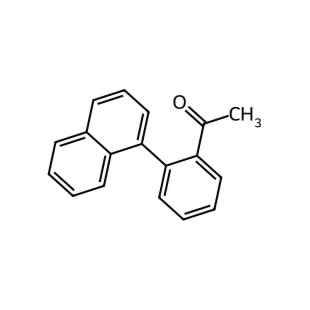 CC(=O)c1ccccc1-c1cccc2ccccc12